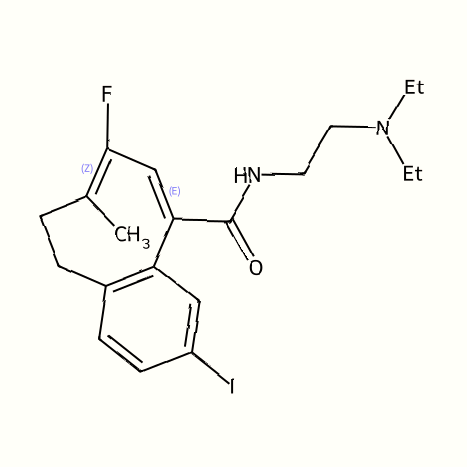 CCN(CC)CCNC(=O)/C1=C/C(F)=C(\C)CCc2ccc(I)cc21